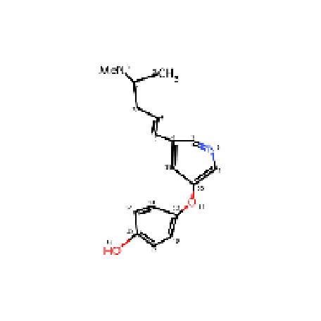 CNC(C)C/C=C/c1cncc(Oc2ccc(O)cc2)c1